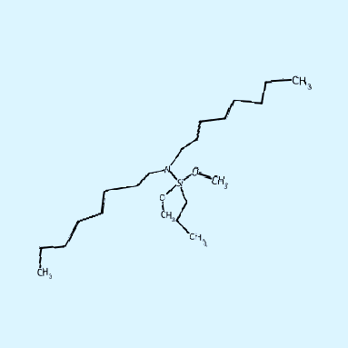 CCCCCCCCN(CCCCCCCC)[Si](CCC)(OC)OC